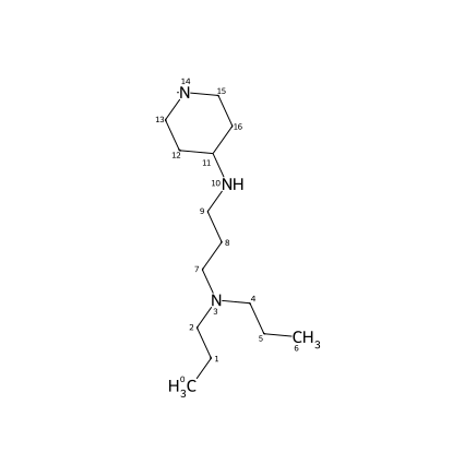 CCCN(CCC)CCCNC1CC[N]CC1